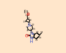 CCOCC1CC(N2CCC(n3c(=O)[nH]c4ccc(C)cc43)CC2)C1